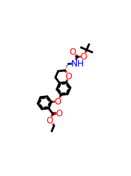 CCOC(=O)c1ccccc1Oc1ccc2c(c1)CC[C@H](CNC(=O)OC(C)(C)C)O2